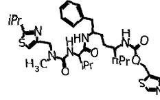 CCCC(CCC(Cc1ccccc1)NC(=O)C(NC(=O)N(C)Cc1csc(C(C)C)n1)C(C)C)NC(=O)OCc1cncs1